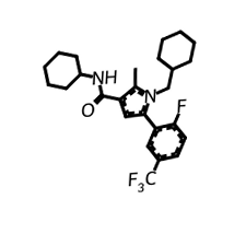 Cc1c(C(=O)NC2CCCCC2)cc(-c2cc(C(F)(F)F)ccc2F)n1CC1CCCCC1